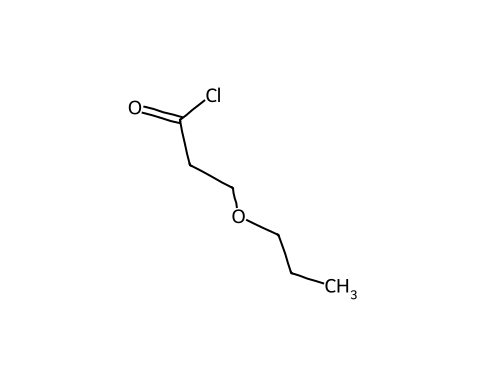 CCCOCCC(=O)Cl